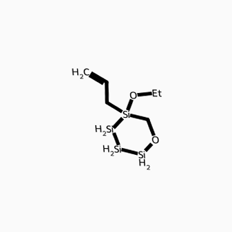 C=CC[Si]1(OCC)CO[SiH2][SiH2][SiH2]1